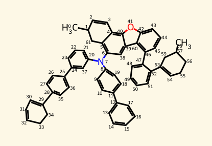 CC1C=Cc2c(c(N(c3ccc(-c4ccccc4)cc3)c3cccc(-c4ccc(C5=CC=CCC5)cc4)c3)cc3c2oc2cccc(-c4ccccc4C4=CCCC(C)C4)c23)C1